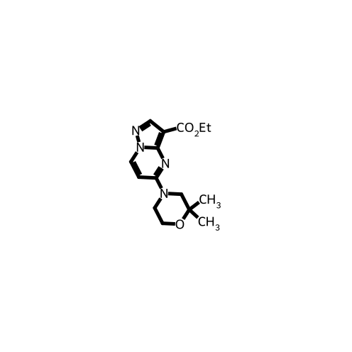 CCOC(=O)c1cnn2ccc(N3CCOC(C)(C)C3)nc12